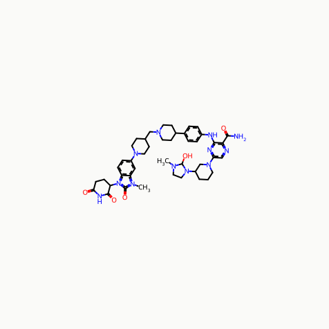 CN1CCN(C2CCCN(c3cnc(C(N)=O)c(Nc4ccc(C5CCN(CC6CCN(c7ccc8c(c7)n(C)c(=O)n8C7CCC(=O)NC7=O)CC6)CC5)cc4)n3)C2)C1O